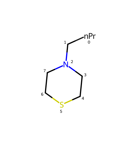 [CH2]CCCN1CCSCC1